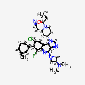 C=CC(=O)N1CC[C@H](n2cnc3c(N4CC(N(C)C)C4)nc4c(F)c(-c5cccc(C)c5)c(Cl)cc4c32)C[C@H]1CC#N